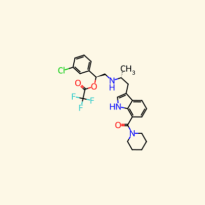 C[C@H](Cc1c[nH]c2c(C(=O)N3CCCCC3)cccc12)NC[C@@H](OC(=O)C(F)(F)F)c1cccc(Cl)c1